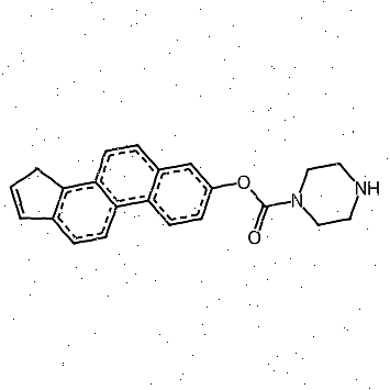 O=C(Oc1ccc2c(ccc3c4c(ccc32)C=CC4)c1)N1CCNCC1